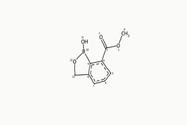 COC(=O)c1cccc2c1B(O)OC2